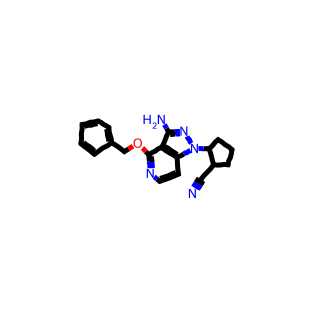 N#CC1CCCC1n1nc(N)c2c(OCc3ccccc3)nccc21